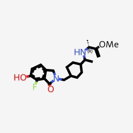 C=C(OC)[C@@H](C)NC(C)C1CCC(CN2Cc3ccc(O)c(F)c3C2=O)CC1